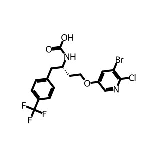 O=C(O)N[C@H](CCOc1cnc(Cl)c(Br)c1)Cc1ccc(C(F)(F)F)cc1